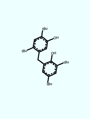 CC(C)(C)c1cc(Cc2cc(O)c(C(C)(C)C)cc2C(C)(C)C)c(O)c(C(C)(C)C)c1